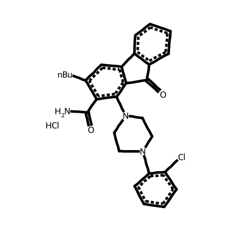 CCCCc1cc2c(c(N3CCN(c4ccccc4Cl)CC3)c1C(N)=O)C(=O)c1ccccc1-2.Cl